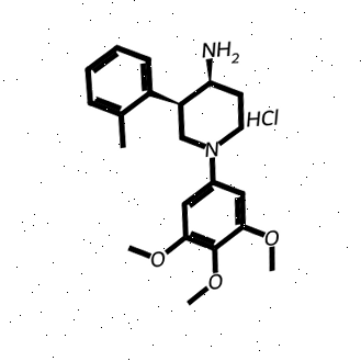 COc1cc(N2CC[C@H](N)[C@H](c3ccccc3C)C2)cc(OC)c1OC.Cl